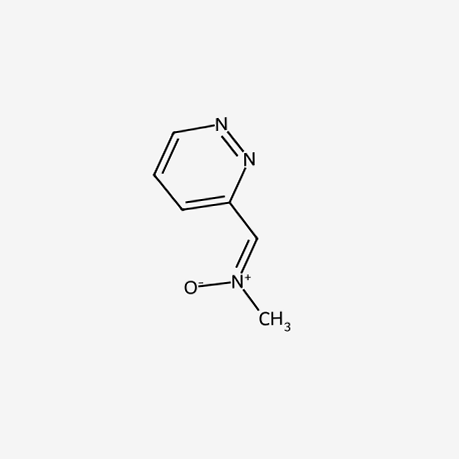 C[N+]([O-])=Cc1cccnn1